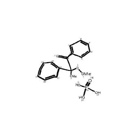 COOC(OC)(C(=O)c1ccccc1)c1ccccc1.O=P(O)(O)O